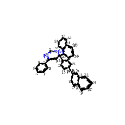 C1=NC(c2ccccc2)=CC(c2ccc(-c3ccc4ccccc4c3)cc2)(c2cccc3ccccc23)N1